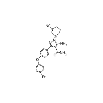 CCc1ccc(Oc2ccc(-c3nn([C@H]4CCCN(C#N)C4)c(N)c3C(N)=O)cc2)cc1